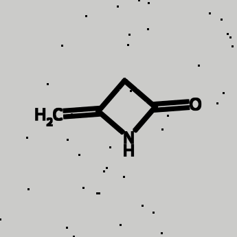 C=C1CC(=O)N1